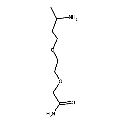 CC(N)CCOCCOCC(N)=O